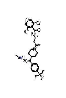 C/C=N/OC(c1ccc(C(F)(F)F)cc1)C1CCN(C(C)CCNC(=O)c2c(Cl)cncc2Cl)CC1